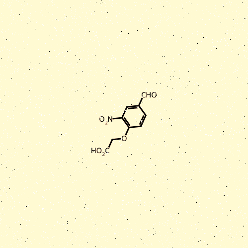 O=Cc1ccc(OCC(=O)O)c([N+](=O)[O-])c1